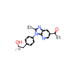 CCC(=O)c1cnc2c(c1)nc(CC)n2-c1ccc(C[C@H](C)O)cc1